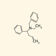 C=CCC(c1ccccc1)N(CC)Cc1ccccc1